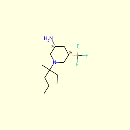 CCCC(C)(CC)N1C[C@H](N)C[C@H](C(F)(F)F)C1